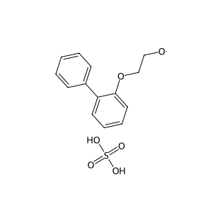 O=S(=O)(O)O.[O]CCOc1ccccc1-c1ccccc1